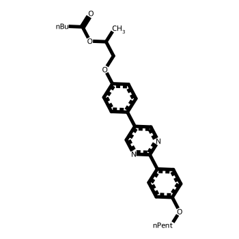 CCCCCOc1ccc(-c2ncc(-c3ccc(OCC(C)OC(=O)CCCC)cc3)cn2)cc1